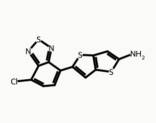 Nc1cc2sc(-c3ccc(Cl)c4nsnc34)cc2s1